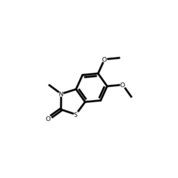 COc1cc2sc(=O)n(C)c2cc1OC